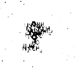 CC(C)(C)COC(=O)c1ccc2c(-c3nc(N[C@H]4CC[C@H](NC(=O)OC(C)(C)C)C4)ncc3C(F)(F)F)cn(C(=O)O)c2c1